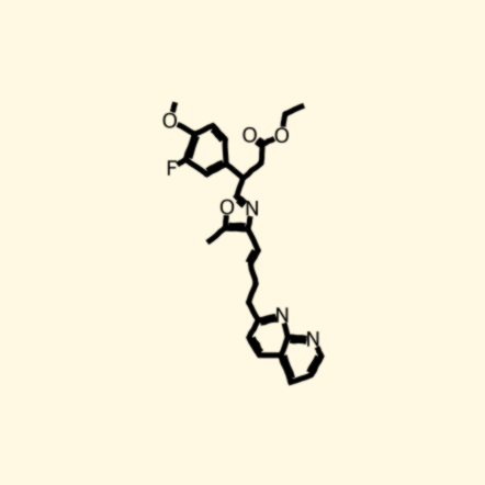 CCOC(=O)CC(c1ccc(OC)c(F)c1)c1nc(/C=C/CCc2ccc3cccnc3n2)c(C)o1